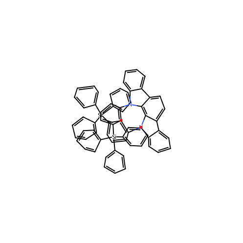 c1ccc([Si](c2ccccc2)(c2ccccc2)c2cccc(-n3c4ccccc4c4ccc5c6ccccc6n(-c6cccc([Si](c7ccccc7)(c7ccccc7)c7ccccc7)c6)c5c43)c2)cc1